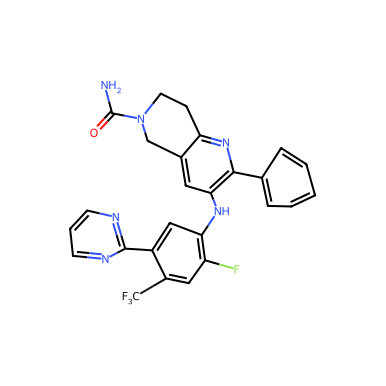 NC(=O)N1CCc2nc(-c3ccccc3)c(Nc3cc(-c4ncccn4)c(C(F)(F)F)cc3F)cc2C1